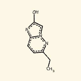 CCc1ccc2nc(O)cn2n1